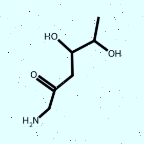 CC(O)C(O)CC(=O)CN